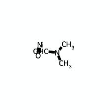 CN(C)C=O.[O]=[Ni]